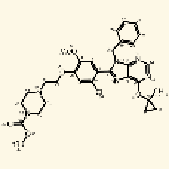 COc1cc(-c2nc3c(OC4(C)CC4)ncnc3n2Cc2ccccc2)c(Cl)cc1OCCN1CCN(C(=O)OC(C)(C)C)CC1